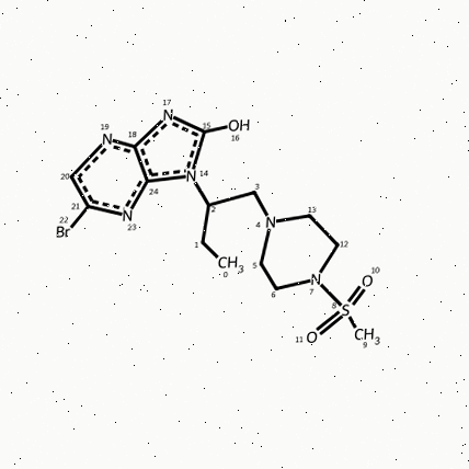 CCC(CN1CCN(S(C)(=O)=O)CC1)n1c(O)nc2ncc(Br)nc21